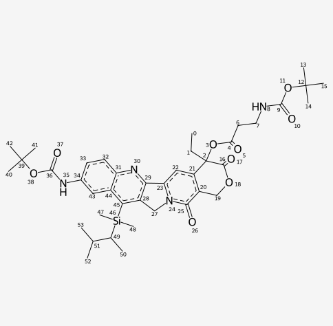 CCC1(OC(=O)CCNC(=O)OC(C)(C)C)C(=O)OCc2c1cc1n(c2=O)Cc2c-1nc1ccc(NC(=O)OC(C)(C)C)cc1c2[Si](C)(C)C(C)C(C)C